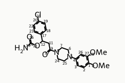 COc1ccc(N2CCN(C(=O)CC(OC(N)=O)c3ccc(Cl)cc3)CC2)cc1OC